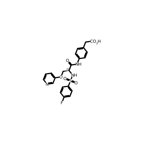 O=C(O)Cc1ccc(NC(=O)[C@H](COc2cccnc2)NS(=O)(=O)c2ccc(F)cc2)cc1